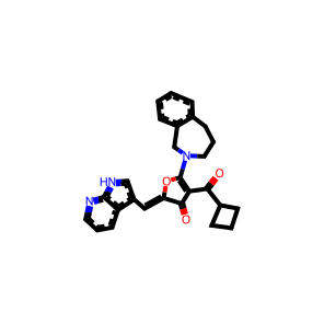 O=C1C(C(=O)C2CCC2)=C(N2CCCc3ccccc3C2)O/C1=C\c1c[nH]c2ncccc12